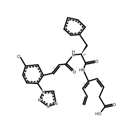 C=C/C=C(\C=C/CC(=O)O)NC(=O)[C@H](Cc1ccccc1)NC(=O)/C=C/c1cc(Cl)ccc1-n1cnnn1